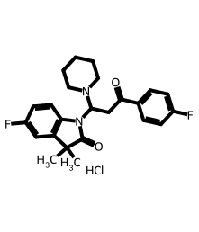 CC1(C)C(=O)N(C(CC(=O)c2ccc(F)cc2)N2CCCCC2)c2ccc(F)cc21.Cl